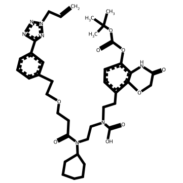 C=CCn1nnc(-c2cccc(CCOCCC(=O)N(CCN(CCc3ccc(OC(=O)OC(C)(C)C)c4c3OCC(=O)N4)C(=O)O)C3CCCCC3)c2)n1